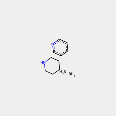 B.B.C1CCNCC1.c1ccncc1